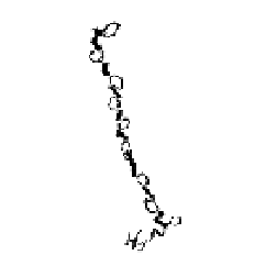 CC(=O)CCOCCOCCOCCOCCOCCOCCOCCC(N)=O